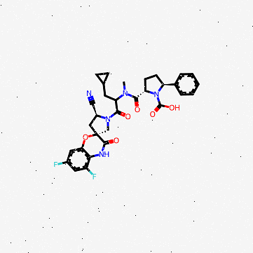 CN(C(=O)[C@@H]1CC[C@@H](c2ccccc2)N1C(=O)O)C(CC1CC1)C(=O)N1C[C@@]2(C[C@H]1C#N)Oc1cc(F)cc(F)c1NC2=O